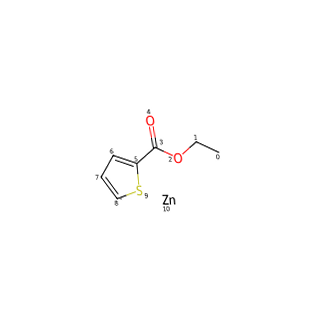 CCOC(=O)c1cc[c]s1.[Zn]